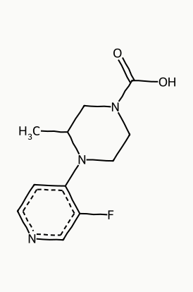 CC1CN(C(=O)O)CCN1c1ccncc1F